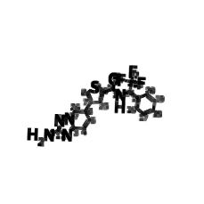 Nc1nc2ccc(-c3csc(C(=O)N[C@H](c4ccccc4)C(F)(F)F)c3)cn2n1